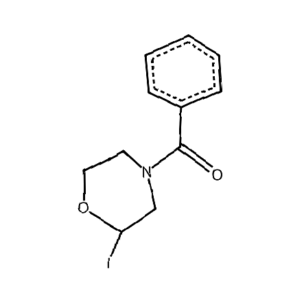 O=C(c1ccccc1)N1CCOC(I)C1